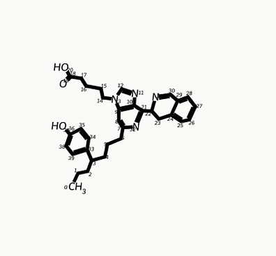 CCCC(CCCc1cc2c(ncn2CCCCC(=O)O)c(C2Cc3ccccc3C=N2)n1)c1ccc(O)cc1